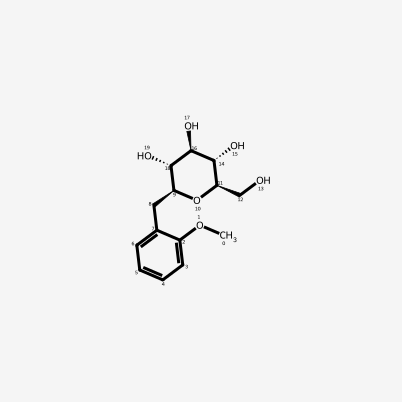 COc1ccccc1C[C@@H]1O[C@H](CO)[C@@H](O)[C@H](O)[C@H]1O